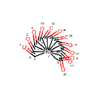 O=[CH][Ru]([CH]=O)([CH]=O)([CH]=O)([CH]=O)([CH]=O)([CH]=O)([CH]=O)([CH]=O)([CH]=O)([CH]=O)[CH]=O